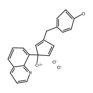 Clc1ccc(CC2=C[C]([Cr+2])(c3cccc4cccnc34)C=C2)cc1.[Cl-].[Cl-]